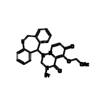 CC(=O)OCOc1c2n(ccc1=O)N(C1c3ccccc3CSc3ccccc31)CN(C(C)C)C2=O